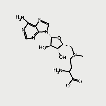 C[S+](CC[C@H](N)C(=O)[O-])C[C@H]1O[C@@H](n2cnc3c(N)ncnc32)[C@H](O)[C@H]1O